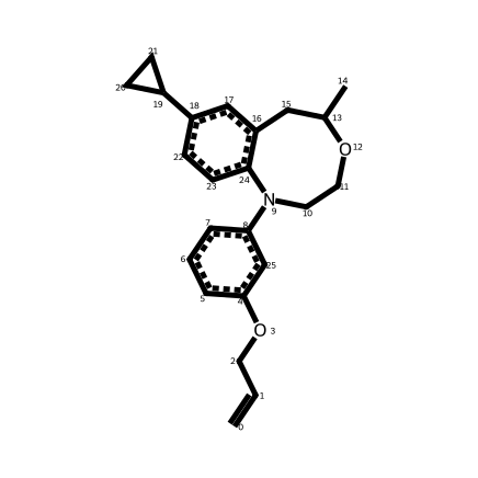 C=CCOc1cccc(N2CCOC(C)Cc3cc(C4CC4)ccc32)c1